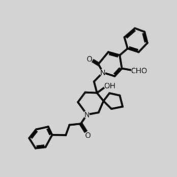 O=Cc1cn(CC2(O)CCN(C(=O)CCc3ccccc3)CC23CCCC3)c(=O)cc1-c1ccccc1